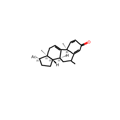 CC(=O)[C@H]1CC[C@H]2[C@@H]3CC(C)C4=CC(=O)C=C[C@]4(C)C3=CC[C@]12C